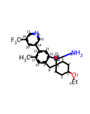 CCOC1CCC2(CC1)Cc1cc(C)c(-c3cncc(C(F)(F)F)c3)cc1C21N=CC(N)=N1